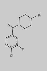 CCCC1CCC(C(C)c2ccc(Cl)c(F)c2)CC1